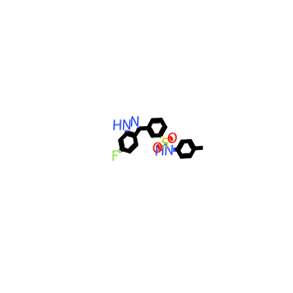 Cc1ccc(NS(=O)(=O)c2cccc(-c3n[nH]c4cc(F)ccc34)c2)cc1